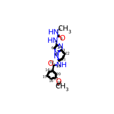 CNC(=O)Nc1cn2nc(NC(=O)c3cccc(OC)c3)ccc2n1